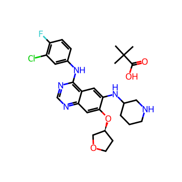 CC(C)(C)C(=O)O.Fc1ccc(Nc2ncnc3cc(O[C@H]4CCOC4)c(NC4CCCNC4)cc23)cc1Cl